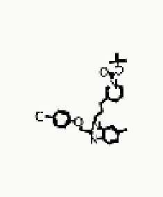 Cc1ccc2nc(COc3ccc(Cl)cc3)n(CCCC3CCCN(C(=O)OC(C)(C)C)C3)c2c1